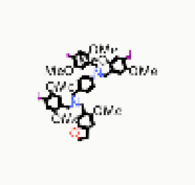 COc1cc(CN(Cc2ccc(N(Cc3cc(OC)c(I)cc3OC)Cc3cc(OC)c(I)cc3OC)cc2)Cc2cc3c(cc2OC)CCO3)c(OC)cc1I